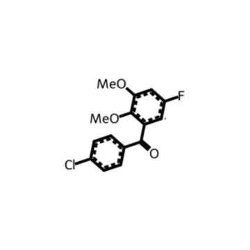 COc1cc(F)[c]c(C(=O)c2ccc(Cl)cc2)c1OC